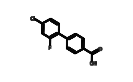 O=C(O)c1ccc(-c2ccc(Cl)cc2F)cc1